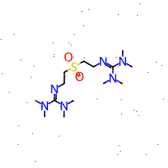 CN(C)C(=NCCS(=O)(=O)CCN=C(N(C)C)N(C)C)N(C)C